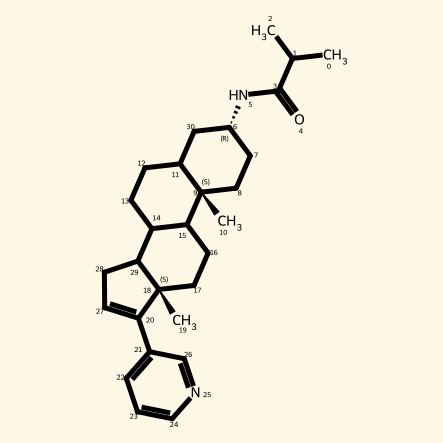 CC(C)C(=O)N[C@@H]1CC[C@@]2(C)C(CCC3C2CC[C@]2(C)C(c4cccnc4)=CCC32)C1